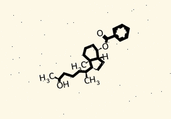 C[C@H](O)CCC[C@H](C)[C@H]1CC[C@H]2[C@@H](OC(=O)c3ccccc3)CCC[C@]12C